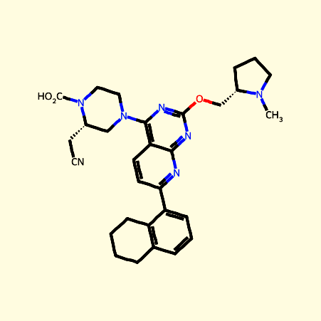 CN1CCC[C@H]1COc1nc(N2CCN(C(=O)O)[C@@H](CC#N)C2)c2ccc(-c3cccc4c3CCCC4)nc2n1